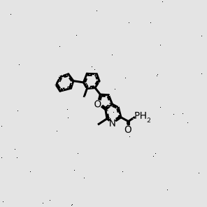 Cc1c(-c2ccccc2)cccc1-c1cc2cc(C(=O)P)nc(C)c2o1